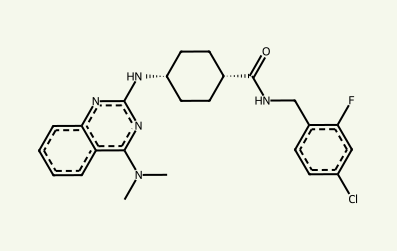 CN(C)c1nc(N[C@H]2CC[C@@H](C(=O)NCc3ccc(Cl)cc3F)CC2)nc2ccccc12